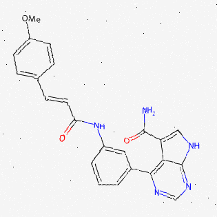 COc1ccc(/C=C/C(=O)Nc2cccc(-c3ncnc4[nH]cc(C(N)=O)c34)c2)cc1